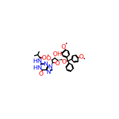 COc1ccc(C(OC[C@H]2O[C@@H](n3cnc4c(=O)[nH]c(NC(=O)C(C)C)nc43)[C@H](OC)[C@@H]2O)(c2ccccc2)c2ccc(OC)cc2)cc1